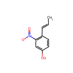 CC=Cc1ccc(O)cc1[N+](=O)[O-]